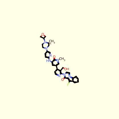 C[C@@H]1CN(c2ccc(Nc3cc(-c4ccnc(-n5ccn6c(c(F)c7ccccc76)c5=O)c4CO)cn(C)c3=O)nc2)CCN1C1COC1